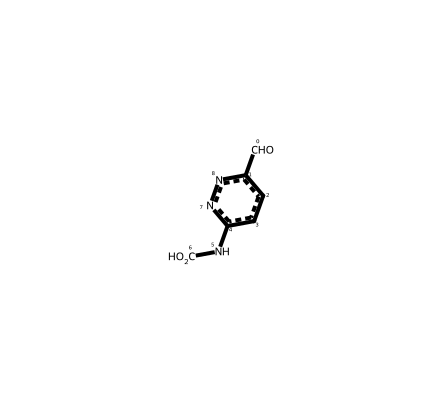 O=Cc1ccc(NC(=O)O)nn1